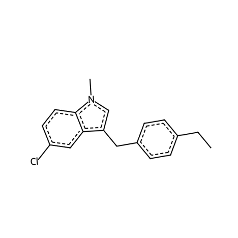 CCc1ccc(Cc2cn(C)c3ccc(Cl)cc23)cc1